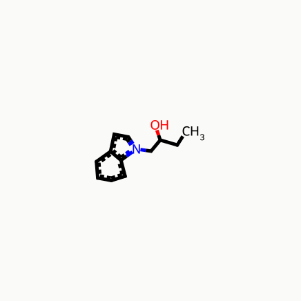 CCC(O)Cn1ccc2ccccc21